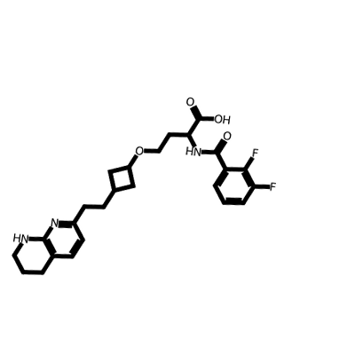 O=C(NC(CCOC1CC(CCc2ccc3c(n2)NCCC3)C1)C(=O)O)c1cccc(F)c1F